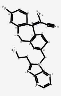 CCCc1nc2nccnc2n1Cc1ccc2c(c1)COc1cc(F)ccc1/C2=C(\C)C#N